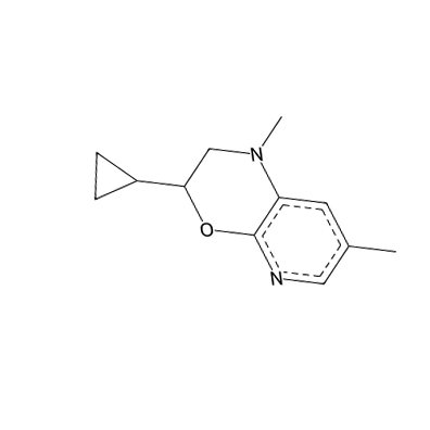 Cc1cnc2c(c1)N(C)CC(C1CC1)O2